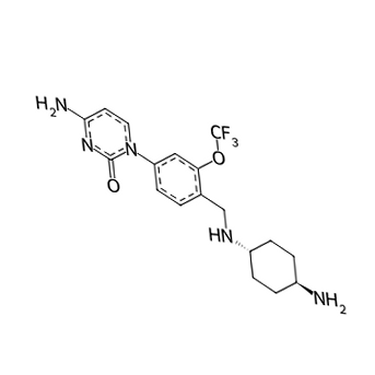 Nc1ccn(-c2ccc(CN[C@H]3CC[C@H](N)CC3)c(OC(F)(F)F)c2)c(=O)n1